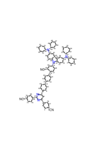 N#Cc1ccc(-c2cc(-c3ccc(-c4ccc(-c5ccc(-n6c7ccc(N(c8ccccc8)c8ccccc8)cc7c7cc(N(c8ccccc8)c8ccccc8)ccc76)cc5C#N)cc4)cc3)nc(-c3ccc(C#N)cc3)n2)cc1